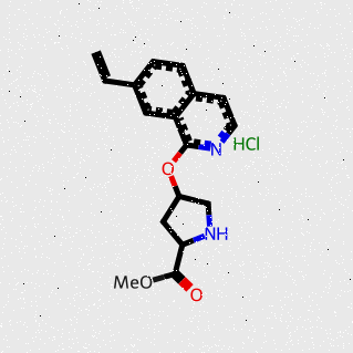 C=Cc1ccc2ccnc(OC3CNC(C(=O)OC)C3)c2c1.Cl